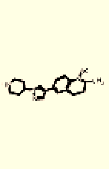 CC(=O)N1c2ccc(-c3cnn(C4CCNCC4)c3)cc2CC[C@@H]1C